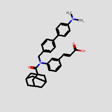 CN(C)c1ccc(-c2ccc(CN(C(=O)C34CC5CC(CC(C5)C3)C4)c3cccc(C=CC(=O)O)c3)cc2)cc1